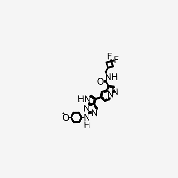 CO[C@H]1CC[C@@H](Nc2ncc3c(-c4ccn5ncc(C(=O)NCC6CC(F)(F)C6)c5c4)c[nH]c3n2)CC1